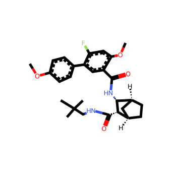 COc1ccc(-c2cc(C(=O)N[C@@H]3[C@H]4CC[C@H](C4)[C@@H]3C(=O)NCC(C)(C)C)c(OC)cc2F)cc1